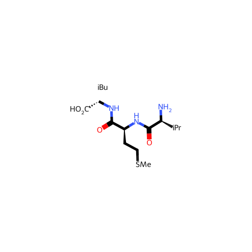 CC[C@H](C)[C@H](NC(=O)[C@H](CCSC)NC(=O)[C@@H](N)C(C)C)C(=O)O